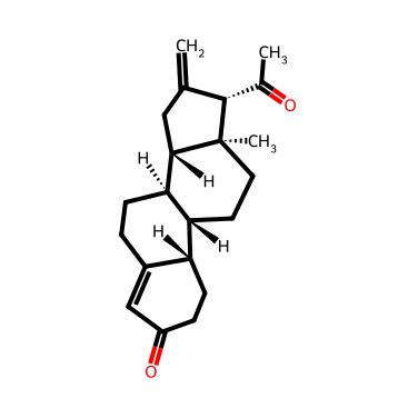 C=C1C[C@H]2[C@@H]3CCC4=CC(=O)CC[C@H]4[C@H]3CC[C@]2(C)[C@H]1C(C)=O